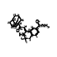 CC1(C)Cc2ccc(C(N)=O)cc2C(=CC(=O)C23CC4CC(CC(C4)C2)C3)N1